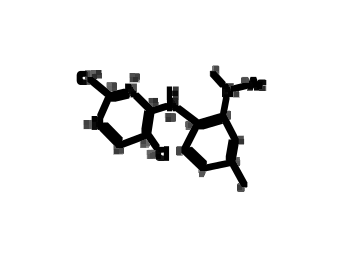 CC(=O)N(C)c1cc(C)ccc1Nc1nc(Cl)ncc1Cl